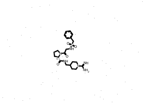 N=C(N)N1CCC(CNC(=O)[C@@H]2CCCN2C(=O)CNS(=O)(=O)Cc2ccccc2)CC1